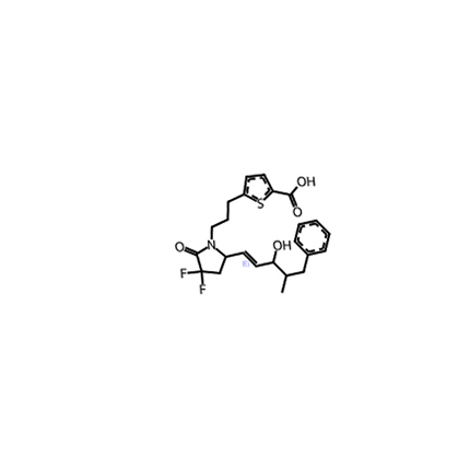 CC(Cc1ccccc1)C(O)/C=C/C1CC(F)(F)C(=O)N1CCCc1ccc(C(=O)O)s1